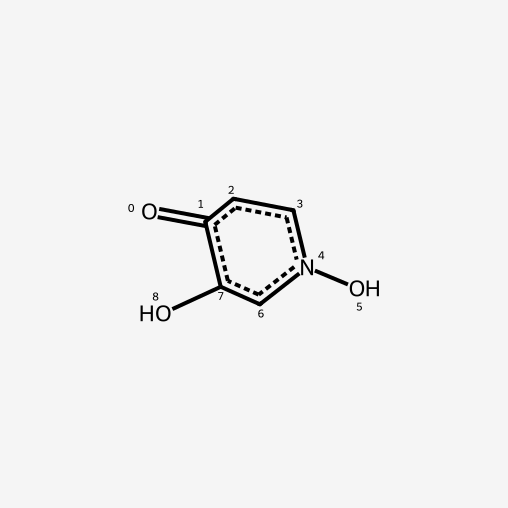 O=c1ccn(O)cc1O